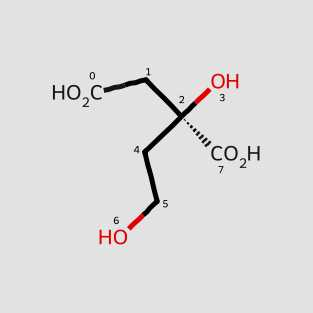 O=C(O)C[C@@](O)(CCO)C(=O)O